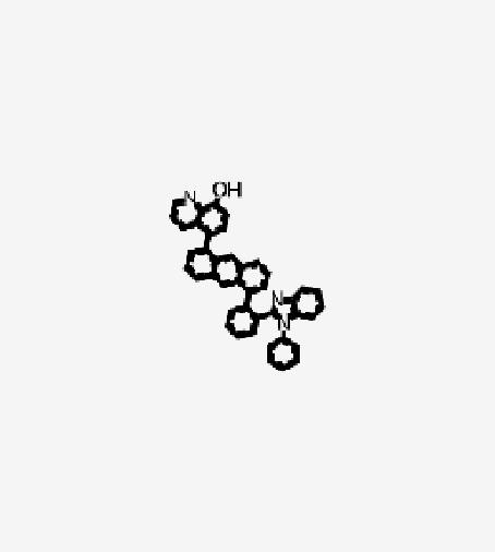 Oc1ccc(-c2cccc3cc4c(-c5ccccc5-c5nc6ccccc6n5-c5ccccc5)cccc4cc23)c2cccnc12